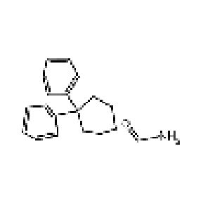 NC=O.c1ccc(C2(c3ccccc3)CCCCC2)cc1